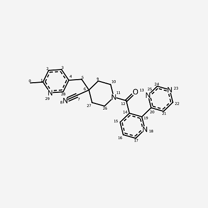 Cc1ccc(CC2(C#N)CCN(C(=O)c3cccnc3-c3ccncn3)CC2)cn1